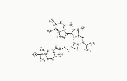 CC(C)N(C[C@H]1O[C@@H](n2cnc3c(N)[n+](O)cnc32)[C@H](O)[C@@H]1O)[C@H]1C[C@@H](CCc2nc3cc(C(C)(C)C)ccc3[nH]2)C1